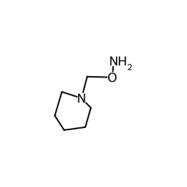 NOCN1CCCCC1